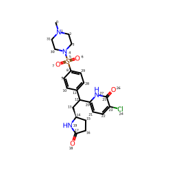 CN1CCN(S(=O)(=O)c2ccc(C(C[C@H]3CCC(=O)N3)c3ccc(Cl)c(=O)[nH]3)cc2)CC1